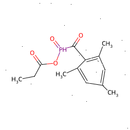 CCC(=O)O[PH](=O)C(=O)c1c(C)cc(C)cc1C